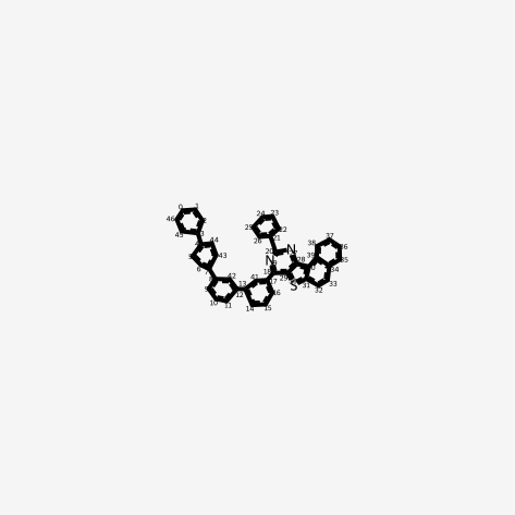 c1ccc(-c2ccc(-c3cccc(-c4cccc(-c5nc(-c6ccccc6)nc6c5sc5ccc7ccccc7c56)c4)c3)cc2)cc1